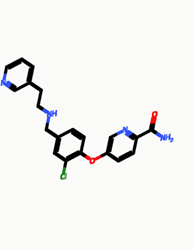 NC(=O)c1ccc(Oc2ccc(CNCCc3cccnc3)cc2Cl)cn1